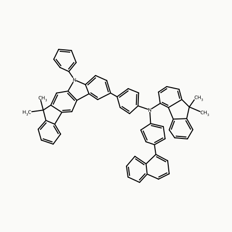 CC1(C)c2ccccc2-c2cc3c4cc(-c5ccc(N(c6ccc(-c7cccc8ccccc78)cc6)c6cccc7c6-c6ccccc6C7(C)C)cc5)ccc4n(-c4ccccc4)c3cc21